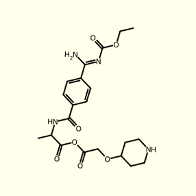 CCOC(=O)/N=C(\N)c1ccc(C(=O)NC(C)C(=O)OC(=O)COC2CCNCC2)cc1